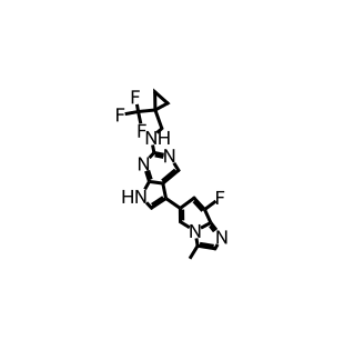 Cc1cnc2c(F)cc(-c3c[nH]c4nc(NCC5(C(F)(F)F)CC5)ncc34)cn12